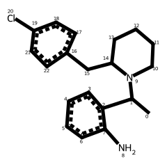 CC(c1ccccc1N)N1CCCCC1Cc1ccc(Cl)cc1